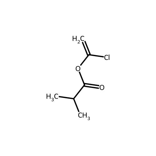 C=C(Cl)OC(=O)C(C)C